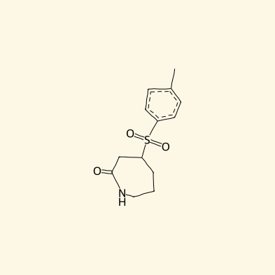 Cc1ccc(S(=O)(=O)C2CCCNC(=O)C2)cc1